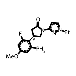 CCn1ccc(N2C[C@@H](c3c(F)cc(OC)cc3P)CC2=O)n1